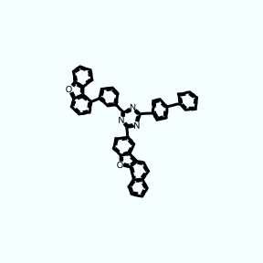 c1ccc(-c2ccc(-c3nc(-c4cccc(-c5cccc6oc7ccccc7c56)c4)nc(-c4ccc5oc6c7ccccc7ccc6c5c4)n3)cc2)cc1